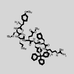 CSCC[C@H](NC(=O)[C@H](COC(C)(C)C)NC(=O)[C@@H](N)Cc1ccc(OC(C)(C)C)cc1)C(=O)N[C@@H](CCC(=O)OC(C)(C)C)C(=O)N[C@@H](Cc1cn(C(c2ccccc2)(c2ccccc2)c2ccccc2)cn1)C(=O)N[C@@H](Cc1ccccc1)C(=O)N[C@@H](CCCNC(=N)N)C(=O)O